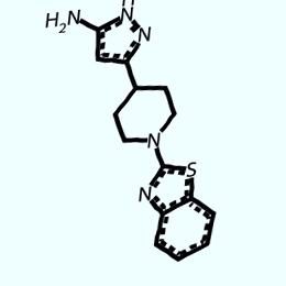 Nc1cc(C2CCN(c3nc4ccccc4s3)CC2)n[nH]1